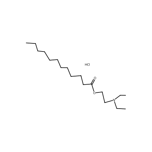 CCCCCCCCCCCC(=O)OCCN(CC)CC.Cl